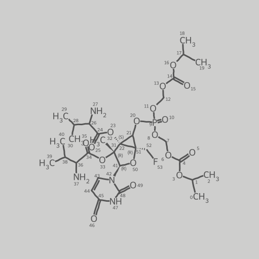 CC(C)OC(=O)OCOP(=O)(OCOC(=O)OC(C)C)OC1[C@]2(OC(=O)C(N)C(C)C)[C@@](C)(OC(=O)C(N)C(C)C)[C@H](n3ccc(=O)[nH]c3=O)O[C@]12CF